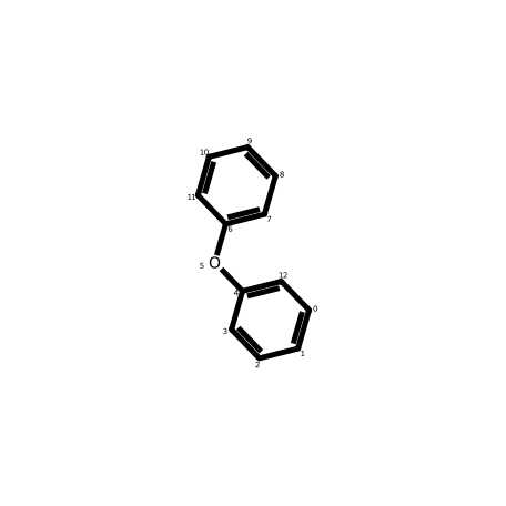 [c]1cccc(Oc2ccccc2)c1